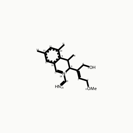 COC/C=C(\CO)C1C(C)c2c(C)cc(C)cc2C=[N+]1C=N